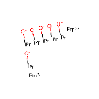 CC(C)[O-].CC(C)[O-].CC(C)[O-].CC(C)[O-].CC(C)[O-].CC(C)[O-].[Pm+3].[Pm+3]